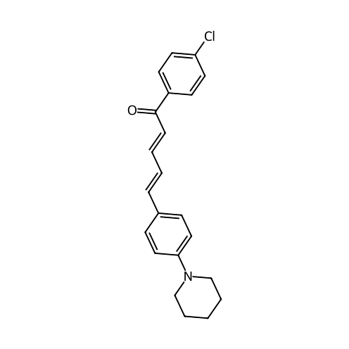 O=C(/C=C/C=C/c1ccc(N2CCCCC2)cc1)c1ccc(Cl)cc1